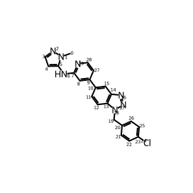 Cn1nccc1Nc1cc(-c2ccc3c(c2)nnn3Cc2ccc(Cl)cc2)ccn1